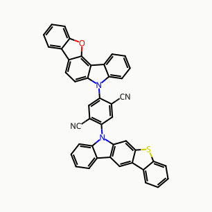 N#Cc1cc(-n2c3ccccc3c3c4oc5ccccc5c4ccc32)c(C#N)cc1-n1c2ccccc2c2cc3c(cc21)sc1ccccc13